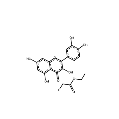 CCOC(=O)CF.O=c1c(O)c(-c2ccc(O)c(O)c2)oc2cc(O)cc(O)c12